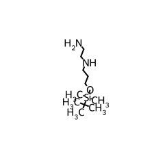 CC(C)(C)[Si](C)(C)OCCCNCCN